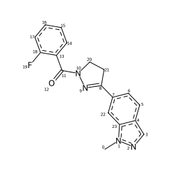 Cn1ncc2ccc(C3=NN(C(=O)c4ccccc4F)CC3)cc21